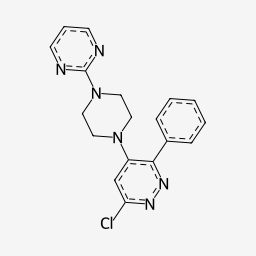 Clc1cc(N2CCN(c3ncccn3)CC2)c(-c2ccccc2)nn1